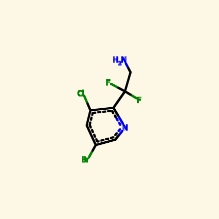 NCC(F)(F)c1ncc(Br)cc1Cl